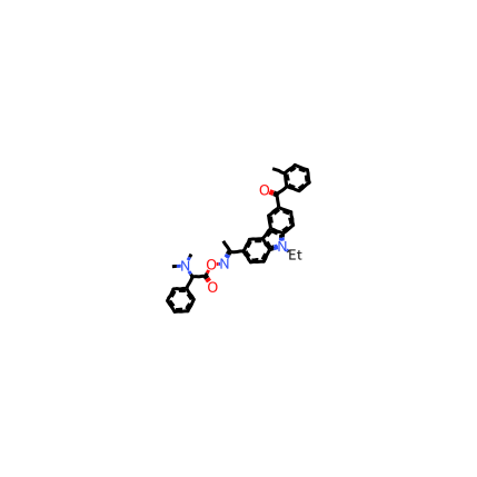 CCn1c2ccc(C(=O)c3ccccc3C)cc2c2cc(/C(C)=N/OC(=O)C(c3ccccc3)N(C)C)ccc21